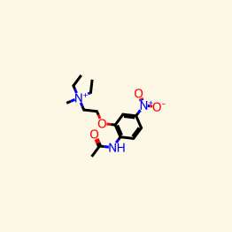 CC[N+](C)(CC)CCOc1cc([N+](=O)[O-])ccc1NC(C)=O